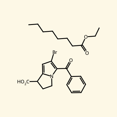 CCCCCCCC(=O)OCC.O=C(c1ccccc1)c1c(Br)cc2n1CCC2C(=O)O